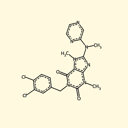 CN(c1cnccn1)c1nc2c(c(=O)n(Cc3ccc(Cl)c(Cl)c3)c(=O)n2C)n1C